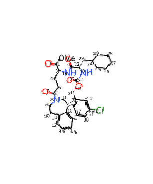 COC(=O)[C@H](CCC(=O)N1CCc2ccccc2CC1)NC(=O)[C@H](CC1CCCCC1)NC(=O)OCc1cccc(Cl)c1